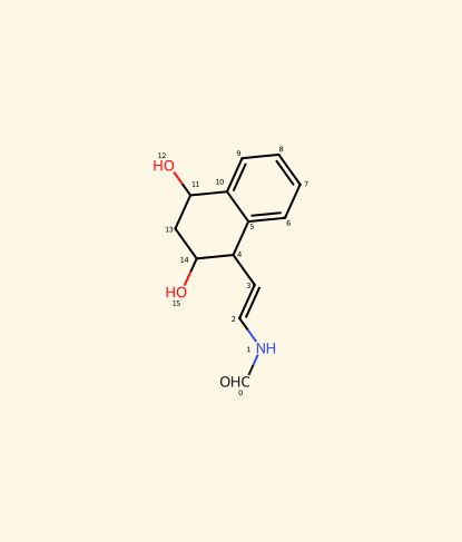 O=CNC=CC1c2ccccc2C(O)CC1O